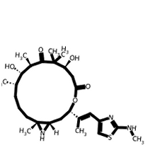 CNc1nc(/C=C(\C)[C@@H]2C[C@@H]3N[C@]3(C)CCC[C@H](C)[C@H](O)[C@@H](C)C(=O)C(C)(C)[C@@H](O)CC(=O)O2)cs1